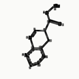 CC(C)(C)OC(=O)C1C=Nc2ncccc2C1